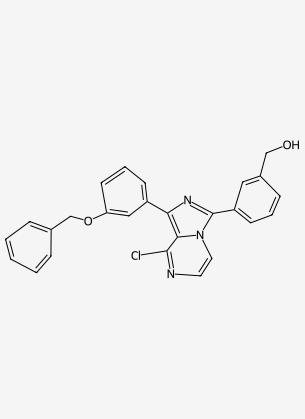 OCc1cccc(-c2nc(-c3cccc(OCc4ccccc4)c3)c3c(Cl)nccn23)c1